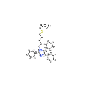 O=C(O)CSCCCCCn1c(-c2ccccc2)nc(-c2ccccc2)c1-c1ccccc1